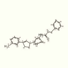 Cc1ccnc(C2=CC(c3cc(NC(=O)OCc4ccccc4)n[nH]3)CC2)n1